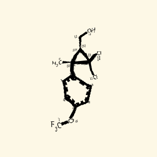 C[C@@]1(c2ccc(OC(F)(F)F)cc2)[C@@H](CO)C1(Cl)Cl